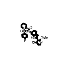 COc1nccc(Cl)c1-c1cc2ccc(NC(=O)[C@@H]3CCCCN3S(=O)(=O)c3ccc(F)cc3)cc2[nH]1